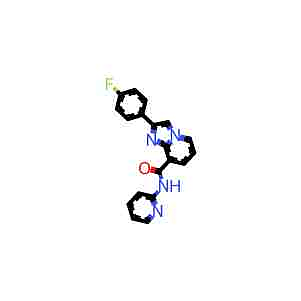 O=C(Nc1ccccn1)c1cccn2cc(-c3ccc(F)cc3)nc12